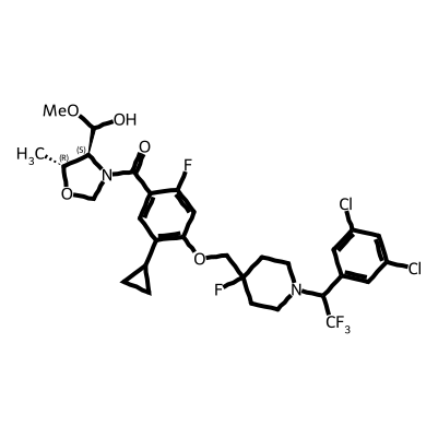 COC(O)[C@@H]1[C@@H](C)OCN1C(=O)c1cc(C2CC2)c(OCC2(F)CCN(C(c3cc(Cl)cc(Cl)c3)C(F)(F)F)CC2)cc1F